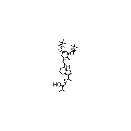 C=C1/C(=C\C=C2/CCC[C@]3(C)C(C(C)SC[C@H](O)C(C)C)=CC[C@@H]23)C[C@@H](O[Si](C)(C)C(C)(C)C)C[C@@H]1O[Si](C)(C)C(C)(C)C